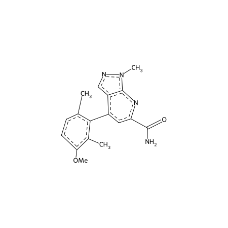 COc1ccc(C)c(-c2cc(C(N)=O)nc3c2cnn3C)c1C